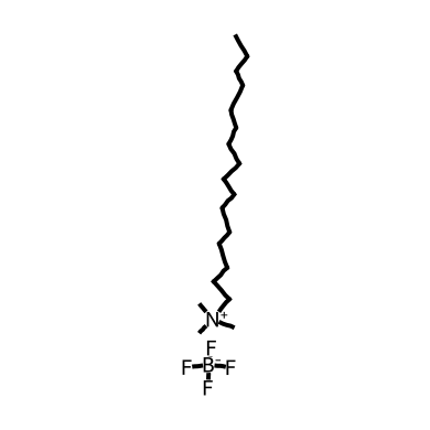 CCCCCCCCCCCCCCCC[N+](C)(C)C.F[B-](F)(F)F